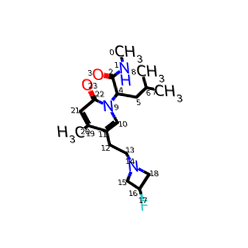 CNC(=O)C(CC(C)C)n1cc(CCN2CC(F)C2)c(C)cc1=O